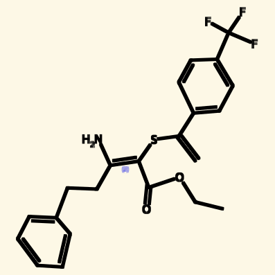 C=C(S/C(C(=O)OCC)=C(\N)CCc1ccccc1)c1ccc(C(F)(F)F)cc1